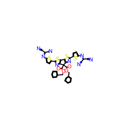 N#CC(C#N)=Nc1ccc(-c2nc3c(s2)-c2sc(-c4ccc(N=C(C#N)C#N)s4)nc2C3(C(=O)OCc2ccccc2)C(=O)OCc2ccccc2)s1